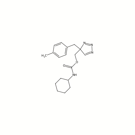 Cc1ccc(CC2(COC(=O)NC3CCCCC3)C=NN=N2)cc1